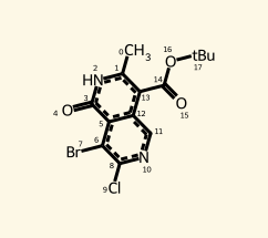 Cc1[nH]c(=O)c2c(Br)c(Cl)ncc2c1C(=O)OC(C)(C)C